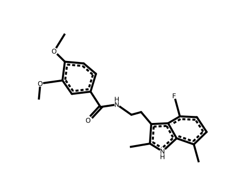 COc1ccc(C(=O)NCCc2c(C)[nH]c3c(C)ccc(F)c23)cc1OC